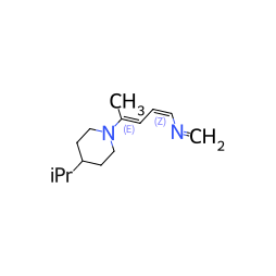 C=N/C=C\C=C(/C)N1CCC(C(C)C)CC1